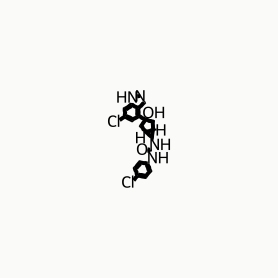 O=C(Nc1ccc(Cl)cc1)N[C@H]1[C@@H]2C[C@@](O)(c3cc(Cl)cc4[nH]ncc34)C[C@@H]21